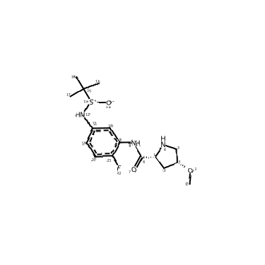 CO[C@H]1CN[C@@H](C(=O)Nc2cc(N[S+]([O-])C(C)(C)C)ccc2F)C1